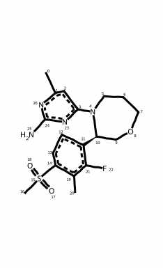 Cc1cc(N2CCCOC[C@H]2c2ccc(S(C)(=O)=O)c(C)c2F)nc(N)n1